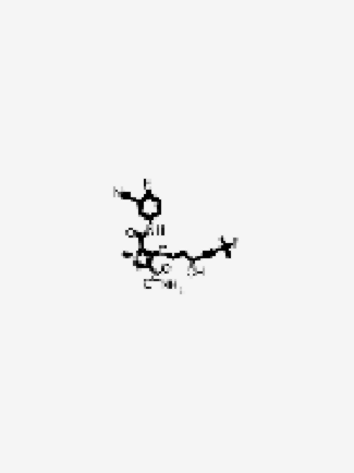 Cn1cc(S(N)(=O)=O)c(OCC[C@H](O)C#CC(C)(C)F)c1C(=O)Nc1ccc(F)c(C#N)c1